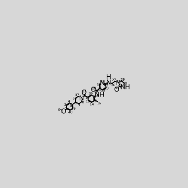 COc1ccc(C2CCN(C(=O)c3ccc(C)c(NC(=O)c4ccc(NCCN5CCNC5=O)nc4)c3)CC2)cc1